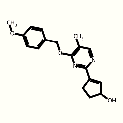 COc1ccc(COc2nc(C3=CC(O)CC3)ncc2C)cc1